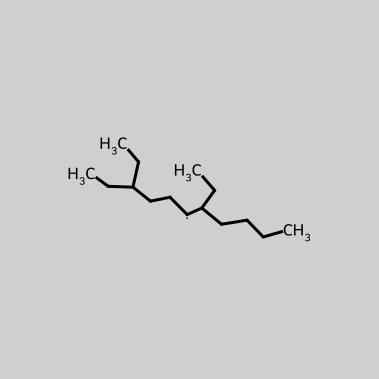 CCCCC([CH]CCC(CC)CC)CC